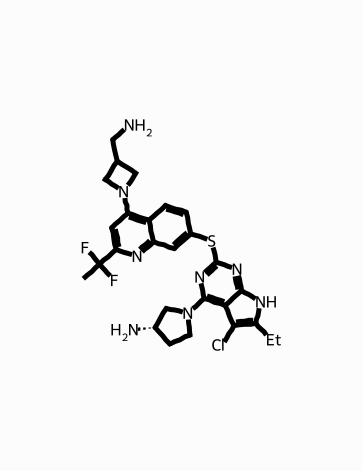 CCc1[nH]c2nc(Sc3ccc4c(N5CC(CN)C5)cc(C(C)(F)F)nc4c3)nc(N3CC[C@H](N)C3)c2c1Cl